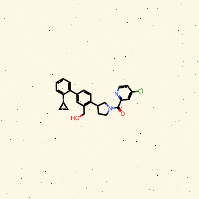 O=C(c1cc(Cl)ccn1)N1CCC(c2ccc(-c3ccccc3C3CC3)cc2CO)C1